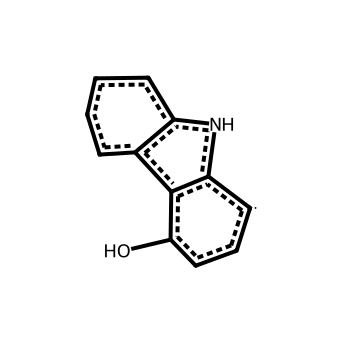 Oc1cc[c]c2[nH]c3ccccc3c12